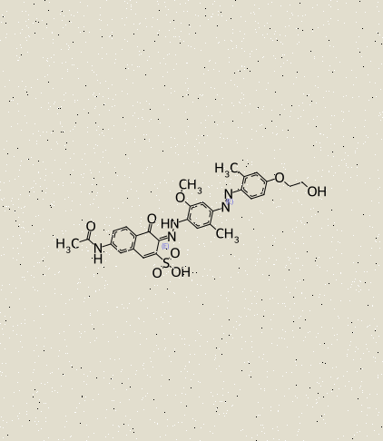 COc1cc(/N=N/c2ccc(OCCO)cc2C)c(C)cc1N/N=C1\C(=O)c2ccc(NC(C)=O)cc2C=C1S(=O)(=O)O